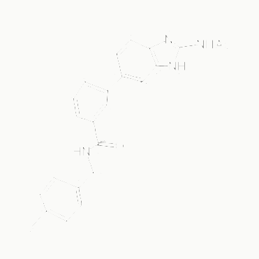 CC(=O)Nc1nc2ccc(-c3cccc(C(=O)NCc4ccc(C)cc4)c3)cc2[nH]1